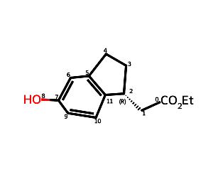 CCOC(=O)C[C@H]1CCc2cc(O)ccc21